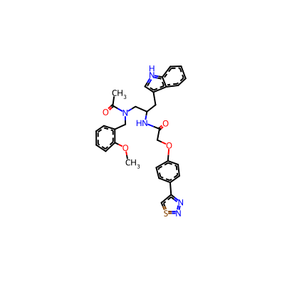 COc1ccccc1CN(CC(Cc1c[nH]c2ccccc12)NC(=O)COc1ccc(-c2csnn2)cc1)C(C)=O